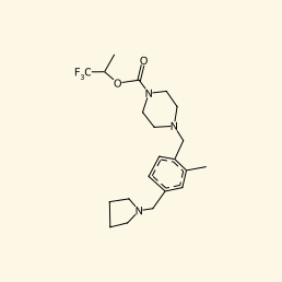 Cc1cc(CN2CCCC2)ccc1CN1CCN(C(=O)OC(C)C(F)(F)F)CC1